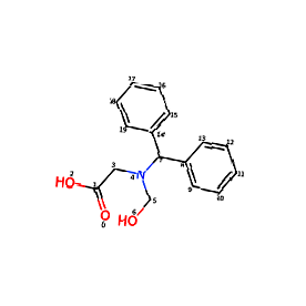 O=C(O)CN(CO)C(c1ccccc1)c1ccccc1